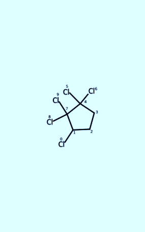 ClC1CCC(Cl)(Cl)C1(Cl)Cl